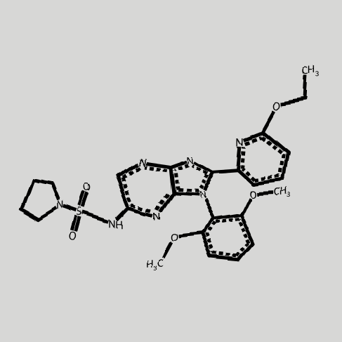 CCOc1cccc(-c2nc3ncc(NS(=O)(=O)N4CCCC4)nc3n2-c2c(OC)cccc2OC)n1